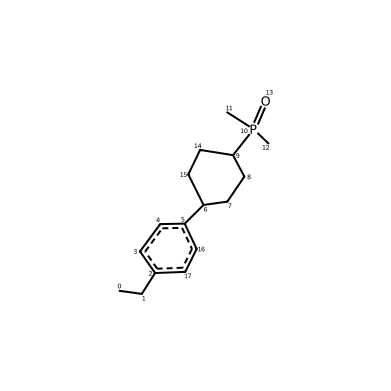 CCc1ccc(C2CCC(P(C)(C)=O)CC2)cc1